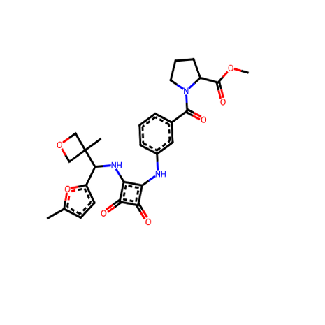 COC(=O)C1CCCN1C(=O)c1cccc(Nc2c(NC(c3ccc(C)o3)C3(C)COC3)c(=O)c2=O)c1